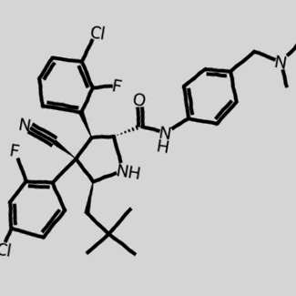 CN(C)Cc1ccc(NC(=O)[C@@H]2N[C@@H](CC(C)(C)C)[C@](C#N)(c3ccc(Cl)cc3F)[C@H]2c2cccc(Cl)c2F)cc1